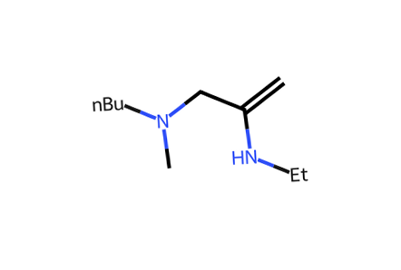 C=C(CN(C)CCCC)NCC